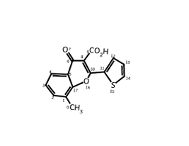 Cc1cccc2c(=O)c(C(=O)O)c(-c3cccs3)oc12